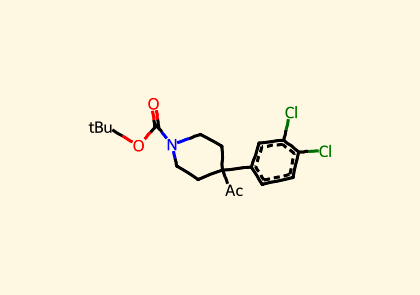 CC(=O)C1(c2ccc(Cl)c(Cl)c2)CCN(C(=O)OC(C)(C)C)CC1